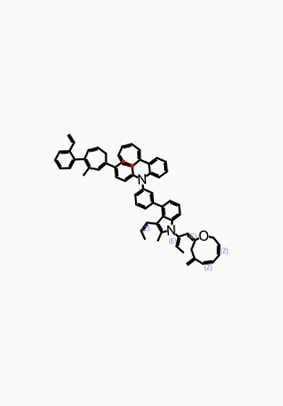 C=Cc1ccccc1C1=C(C)C=C(c2ccc(N(c3cccc(-c4cccc5c4c(/C=C\C)c(C)n5C(/C=C4\CC(=C)/C=C\C=C/CO4)=C/C)c3)c3ccccc3C3=CC=CC=CC3)cc2)CC=C1